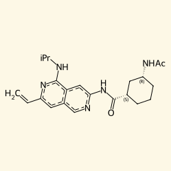 C=Cc1cc2cnc(NC(=O)[C@H]3CCC[C@@H](NC(C)=O)C3)cc2c(NC(C)C)n1